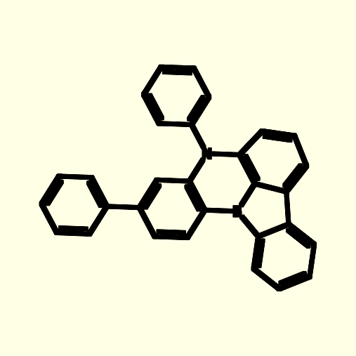 c1ccc(-c2ccc3c(c2)N(c2ccccc2)c2cccc4c2B3c2ccccc2-4)cc1